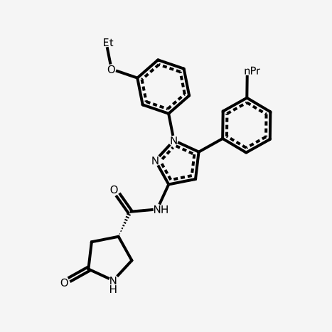 CCCc1cccc(-c2cc(NC(=O)[C@@H]3CNC(=O)C3)nn2-c2cccc(OCC)c2)c1